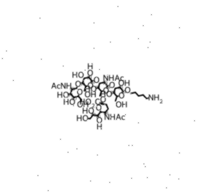 CC(=O)N[C@@H]1C(O[C@H]2C(CO)O[C@@H](OC3[C@H](O)C(CO[C@]4(C(=O)O)CC[C@@H](NC(C)=O)C([C@H](O)[C@H](O)CO)O4)O[C@@H](OC4[C@@H](O)C(CO)O[C@@H](OCCCCCN)[C@H]4O)[C@H]3NC(C)=O)[C@@H](O)C2O)OC(CO)[C@H](O)[C@@H]1O